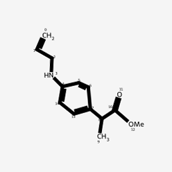 C=CCNc1ccc(C(C)C(=O)OC)cc1